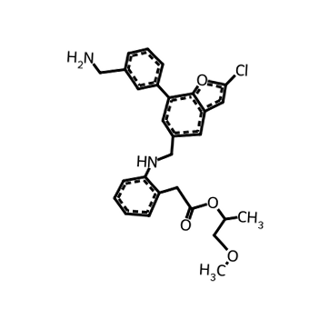 COCC(C)OC(=O)Cc1ccccc1NCc1cc(-c2cccc(CN)c2)c2oc(Cl)cc2c1